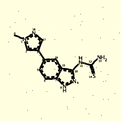 Cn1cc(-c2ccc3[nH]nc(NC(N)=S)c3c2)cn1